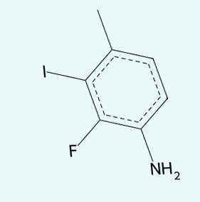 Cc1ccc(N)c(F)c1I